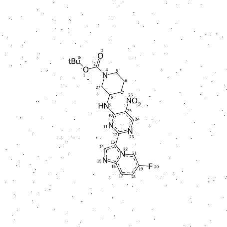 CC(C)(C)OC(=O)N1CCCC(Nc2nc(-c3cnc4ccc(F)cn34)ncc2[N+](=O)[O-])C1